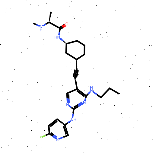 CCCNc1nc(Nc2ccc(F)nc2)ncc1C#C[C@@H]1CCC[C@H](NC(=O)[C@H](C)NC)C1